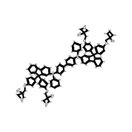 CCC1(COc2ccc(C3(c4ccc(OCC5(CC)COC5)cc4)c4ccccc4-c4ccc(N(c5ccccc5)c5ccc(-c6ccc(N(c7ccccc7)c7ccc8c(c7)C(c7ccc(OCC9(CC)COC9)cc7)(c7ccc(OCC9(CC)COC9)cc7)c7ccccc7-8)cc6)cc5)cc43)cc2)CCC1